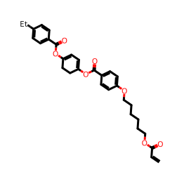 C=CC(=O)OCCCCCCOc1ccc(C(=O)OC2=CC=C(OC(=O)c3ccc(CC)cc3)CC2)cc1